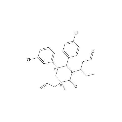 C=CC[C@@]1(C)C[C@H](c2cccc(Cl)c2)C(c2ccc(Cl)cc2)N(C(CC)CC=O)C1=O